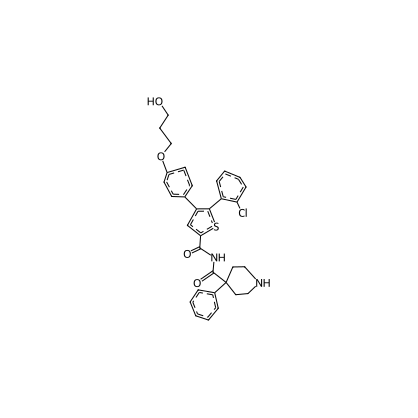 O=C(NC(=O)C1(c2ccccc2)CCNCC1)c1cc(-c2ccc(OCCCO)cc2)c(-c2ccccc2Cl)s1